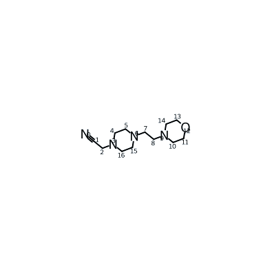 N#CCN1CCN(CCN2CCOCC2)CC1